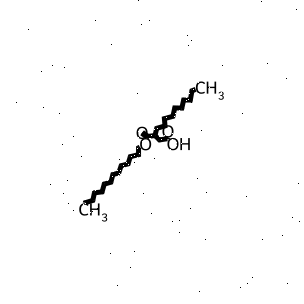 CCCCCCCCCCCCCCOC(=O)C(CCCCCCCCCC)CC(=O)O